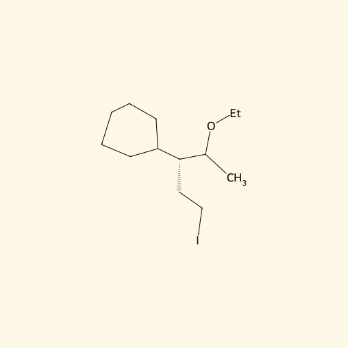 CCOC(C)[C@H](CCI)C1CCCCC1